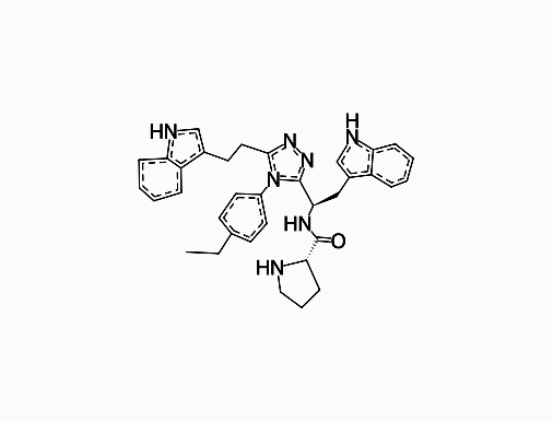 CCc1ccc(-n2c(CCc3c[nH]c4ccccc34)nnc2[C@@H](Cc2c[nH]c3ccccc23)NC(=O)[C@@H]2CCCN2)cc1